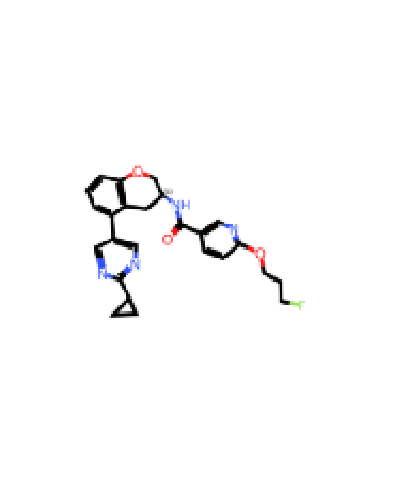 O=C(N[C@@H]1COc2cccc(-c3cnc(C4CC4)nc3)c2C1)c1ccc(OCCCF)nc1